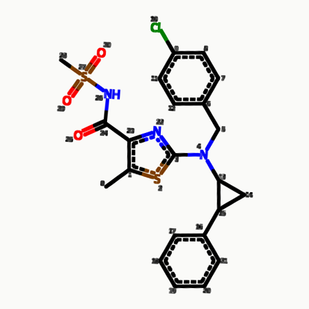 Cc1sc(N(Cc2ccc(Cl)cc2)C2CC2c2ccccc2)nc1C(=O)NS(C)(=O)=O